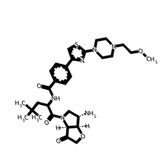 COCCN1CCN(c2nc(-c3ccc(C(=O)NC(CC(C)(C)C)C(=O)N4C[C@H](N)[C@H]5OCC(=O)[C@H]54)cc3)cs2)CC1